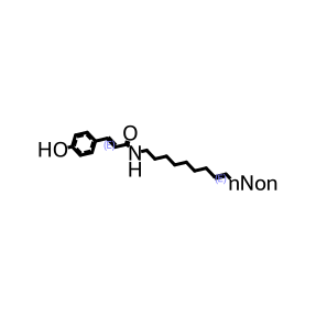 CCCCCCCCC/C=C/CCCCCCCNC(=O)/C=C/c1ccc(O)cc1